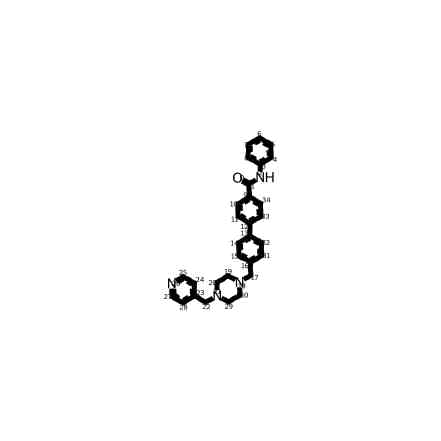 O=C(Nc1ccccc1)c1ccc(-c2ccc(CN3CCN(Cc4ccncc4)CC3)cc2)cc1